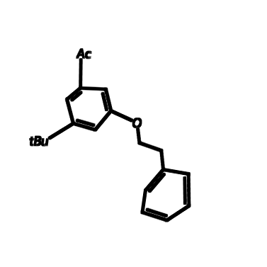 CC(=O)c1cc(OCCc2ccccc2)cc(C(C)(C)C)c1